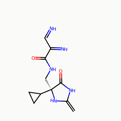 C=C1NC(=O)[C@](CNC(=O)C(=N)C=N)(C2CC2)N1